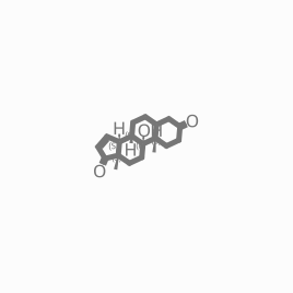 C[C@]12CCC(=O)CC1CC[C@H]1[C@@H]3C=CC(=O)[C@@]3(C)CC[C@@]12O